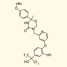 CCCCOc1ccc(C2(C)NC(=O)N(Cc3cc(Oc4ccc(C(O)(C(F)(F)F)C(F)(F)F)cc4CCC)ccn3)CO2)cc1